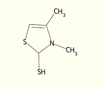 CC1=CSC(S)N1C